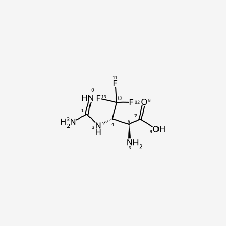 N=C(N)N[C@@H]([C@H](N)C(=O)O)C(F)(F)F